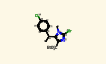 CCOC(=O)c1nc(Br)n(C)c1C(C)c1ccc(Cl)cc1